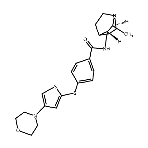 C[C@H]1[C@H](NC(=O)c2ccc(Sc3cc(N4CCOCC4)cs3)cc2)C2CCN1CC2